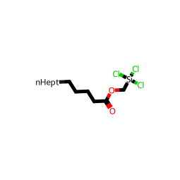 CCCCCCCCCCCC(=O)OC[Si](Cl)(Cl)Cl